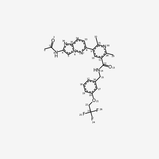 CC(=O)Nc1cn2nc(-c3cc(C(=O)NCc4cccc(OCC(F)(F)F)c4)c(C)nc3C)ccc2n1